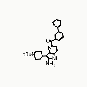 CC(C)(C)N1CCC(c2c(N)[nH]c3ccc(C(=O)c4cccc(-c5ccccc5)c4)nc23)CC1